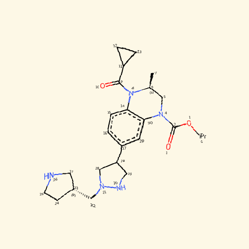 CC(C)OC(=O)N1C[C@H](C)N(C(=O)C2CC2)c2ccc(C3CNN(C[C@@H]4CCNC4)C3)cc21